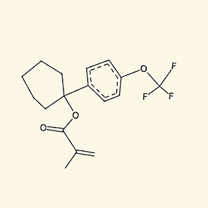 C=C(C)C(=O)OC1(c2ccc(OC(F)(F)F)cc2)CCCCC1